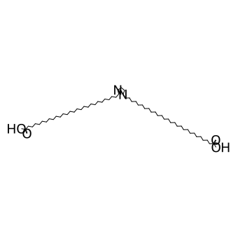 O=C(O)CCCCCCCCCCCCCCCCCCCCCCCCCCCN1CCN=C1CCCCCCCCCCCCCCCCCCCCCCCCCCC(=O)O